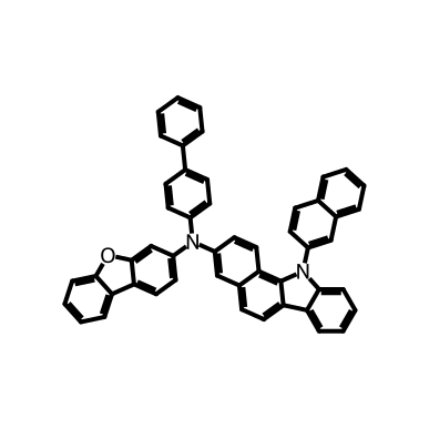 c1ccc(-c2ccc(N(c3ccc4c(ccc5c6ccccc6n(-c6ccc7ccccc7c6)c45)c3)c3ccc4c(c3)oc3ccccc34)cc2)cc1